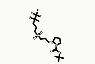 CC(C)(C)OC(=O)N1CCC[C@@H]1CCCS(=O)(=O)CCCC(F)(F)C(F)(F)F